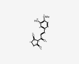 COc1ccc(C=CC(=O)C2C(=O)CCC2=O)cc1O